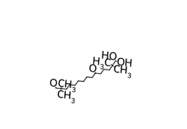 CC(C)(C=O)CCCCCCCC(=O)CCCC(C)(C)C(O)O